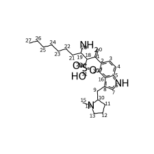 C=C(c1ccc2[nH]cc(CC3CCCN3C)c2c1)C(C(N)CCCCCCC)S(=O)(=O)O